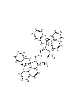 CN1C(=CCCC2N(C)c3ccc4ccccc4c3C2(C)Cc2ccccc2)C(C)(Cc2ccccc2)c2c1ccc1ccccc21